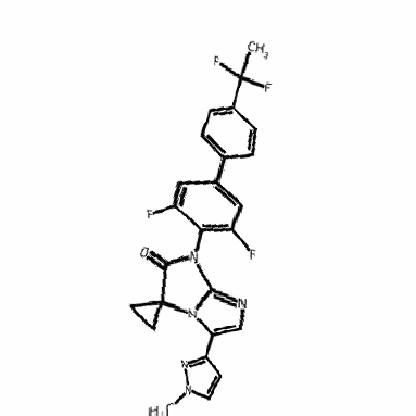 Cn1ccc(-c2cnc3n2C2(CC2)C(=O)N3c2c(F)cc(-c3ccc(C(C)(F)F)cc3)cc2F)n1